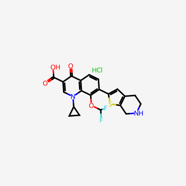 Cl.O=C(O)c1cn(C2CC2)c2c(OC(F)F)c(-c3cc4c(s3)CNCC4)ccc2c1=O